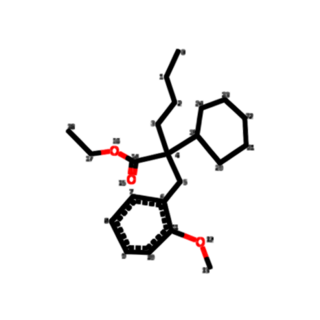 CCCCC(Cc1ccccc1OC)(C(=O)OCC)C1CCCCC1